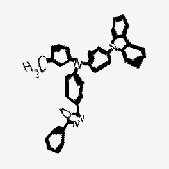 Cc1cccc(N(c2ccc(-c3nnc(-c4ccccc4)o3)cc2)c2ccc(-n3c4ccccc4c4ccccc43)cc2)c1